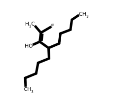 CCCCCC(CCCCC)C(O)=C(C)F